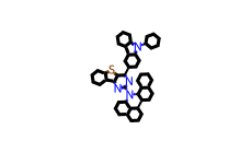 c1ccc(-n2c3ccccc3c3cc(-c4nc(N5c6c(ccc7ccccc67)-c6cccc7cccc5c67)nc5c4sc4ccccc45)ccc32)cc1